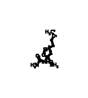 COCCCCC(NC(N)=O)(O[SiH3])O[SiH3]